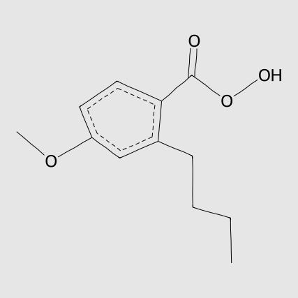 CCCCc1cc(OC)ccc1C(=O)OO